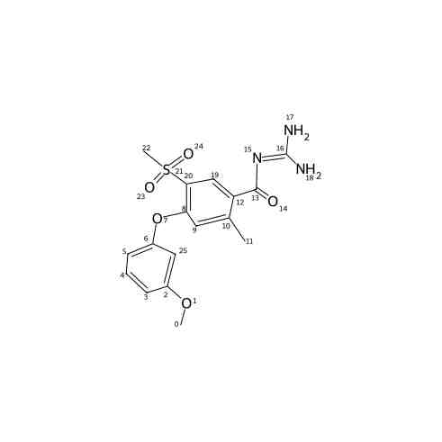 COc1cccc(Oc2cc(C)c(C(=O)N=C(N)N)cc2S(C)(=O)=O)c1